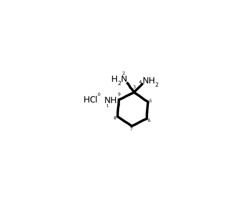 Cl.N.NC1(N)CCCCC1